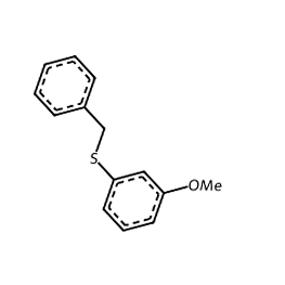 COc1cccc(SCc2ccccc2)c1